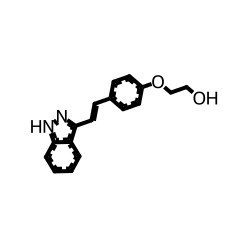 OCCOc1ccc(C=Cc2n[nH]c3ccccc23)cc1